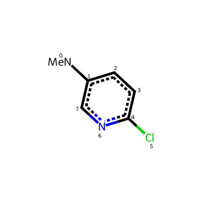 CNc1ccc(Cl)nc1